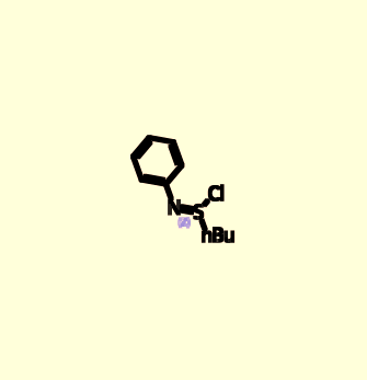 CCCC/S(Cl)=N/c1ccccc1